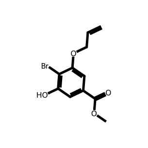 C=CCOc1cc(C(=O)OC)cc(O)c1Br